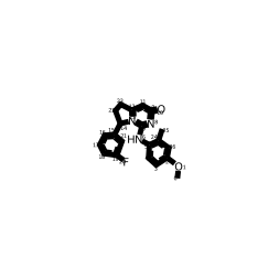 COc1ccc(Nc2nc(=O)cc3n2C(c2cccc(F)c2)CC3)c(C)c1